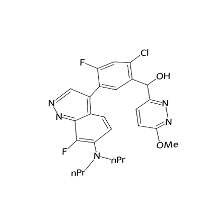 CCCN(CCC)c1ccc2c(-c3cc(C(O)c4ccc(OC)nn4)c(Cl)cc3F)cnnc2c1F